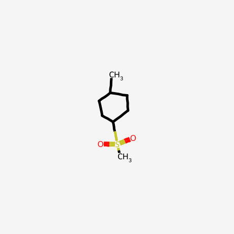 CC1CCC(S(C)(=O)=O)CC1